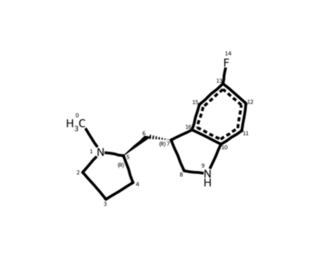 CN1CCC[C@@H]1C[C@H]1CNc2ccc(F)cc21